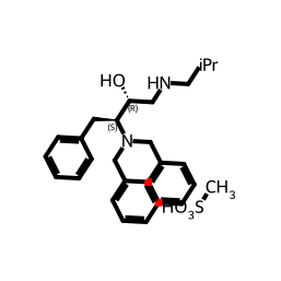 CC(C)CNC[C@@H](O)[C@H](Cc1ccccc1)N(Cc1ccccc1)Cc1ccccc1.CS(=O)(=O)O